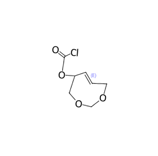 O=C(Cl)OC1/C=C/COCOC1